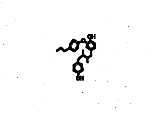 CCCc1ccc(Oc2cc(CC(C)C(C)Cc3ccc(O)cc3)ccc2O)cc1